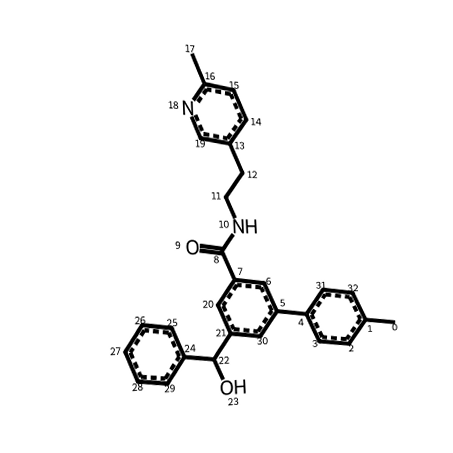 Cc1ccc(-c2cc(C(=O)NCCc3ccc(C)nc3)cc(C(O)c3ccccc3)c2)cc1